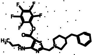 CCCNc1nc(CN2CCC(Cc3ccccc3)CC2)sc1C(=O)Oc1c(F)c(F)c(F)c(F)c1F